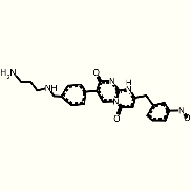 NCCCNCc1ccc(-c2cn3c(=O)cc(Cc4cccc(N=O)c4)[nH]c3nc2=O)cc1